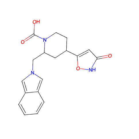 O=C(O)N1CCC(c2cc(=O)[nH]o2)CC1Cn1cc2ccccc2c1